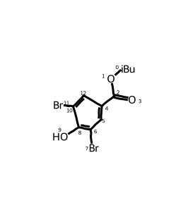 CCC(C)OC(=O)c1cc(Br)c(O)c(Br)c1